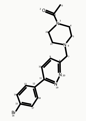 CC(=O)N1CCN(Cc2ccc(-c3ccc(Br)cc3)nn2)CC1